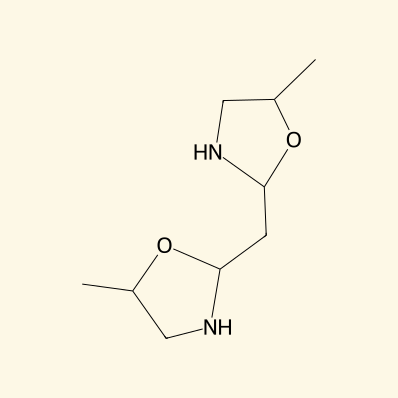 CC1CNC(CC2NCC(C)O2)O1